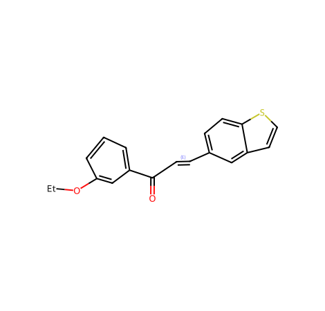 CCOc1cccc(C(=O)/C=C/c2ccc3sccc3c2)c1